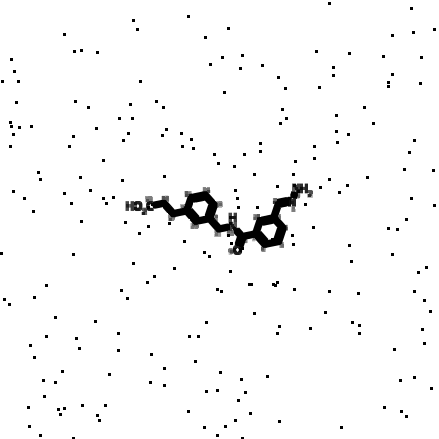 NN=Cc1cccc(C(=O)NCc2cccc(CCC(=O)O)c2)c1